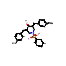 CC(C)(C)c1ccc(C=C2CN(S(=O)(=O)c3ccccc3)CC(=Cc3ccc(C(C)(C)C)cc3)C2=O)cc1